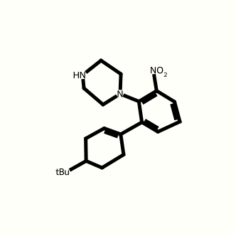 CC(C)(C)C1CC=C(c2cccc([N+](=O)[O-])c2N2CCNCC2)CC1